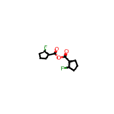 O=C(OC(=O)C1CCCC1F)C1CCCC1F